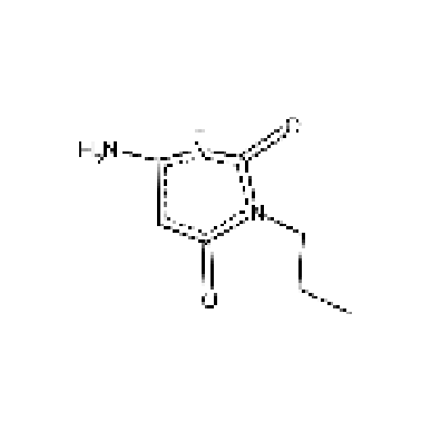 CCCn1c(=O)cc(N)[nH]c1=O